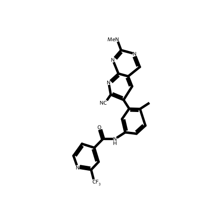 CNc1ncc2cc(-c3cc(NC(=O)c4ccnc(C(F)(F)F)c4)ccc3C)c(C#N)nc2n1